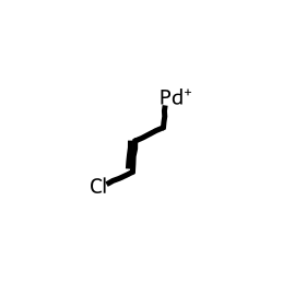 ClC=C[CH2][Pd+]